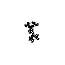 CC(c1ccccc1)(c1ccc2c(c1)c1cc(N(c3ccccc3)c3ccccc3)ccc1n2-c1ccc2c3ccc(-n4c5ccc(N(c6ccccc6)c6ccccc6)cc5c5cc(N(c6ccccc6)c6ccccc6)ccc54)cc3c3nccnc3c2c1)C1C=CC=CC1